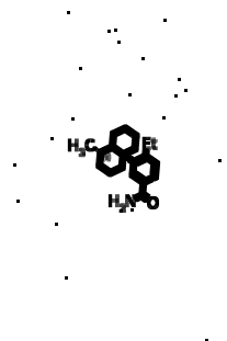 CCc1ccc(C(N)=O)cc1C12CCCCC1[C@@H](C)CCC2